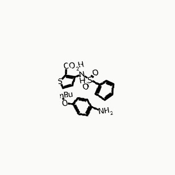 CCCCOc1ccc(N)cc1.O=C(O)c1sccc1NS(=O)(=O)c1ccccc1